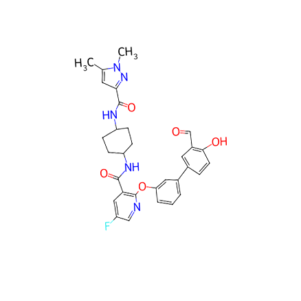 Cc1cc(C(=O)NC2CCC(NC(=O)c3cc(F)cnc3Oc3cccc(-c4ccc(O)c(C=O)c4)c3)CC2)nn1C